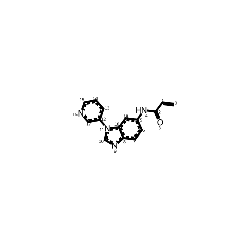 C=CC(=O)Nc1ccc2ncn(-c3cccnc3)c2c1